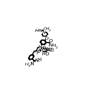 CC(=N)N1CCC(Oc2ccc(N(C/C(F)=C/c3cccc(C(=N)N)c3)S(=O)(=O)CC(=O)O)cc2C(N)=O)CC1.Cl.Cl